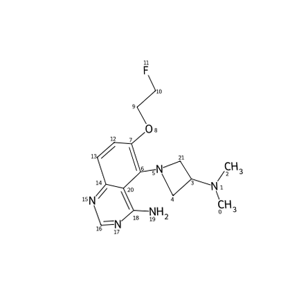 CN(C)C1CN(c2c(OCCF)ccc3ncnc(N)c23)C1